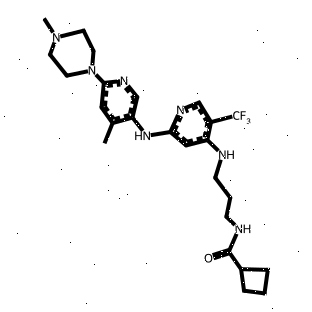 Cc1cc(N2CCN(C)CC2)ncc1Nc1cc(NCCCNC(=O)C2CCC2)c(C(F)(F)F)cn1